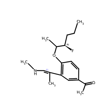 CCC[C@@H](F)C(C)Oc1ccc(C(C)=O)cc1/C(C)=C/NC